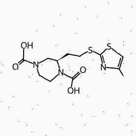 Cc1csc(SCC[C@@H]2CN(C(=O)O)CCN2C(=O)O)n1